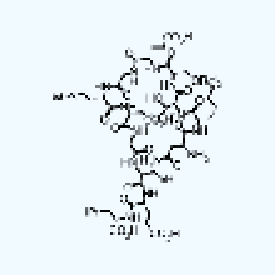 CSCC[C@H](NC(=O)CNC(=O)[C@H](CCC(=O)O)NC(=O)[C@H](CO)NC(=O)[C@@H](NC(=O)[C@H](CCCCN)NC(=O)[C@@H](N)CC(N)=O)[C@@H](C)O)C(=O)N[C@@H](CC(=O)O)C(=O)NCC(=O)N[C@@H](CS)C(=O)N[C@@H](CCC(=O)O)C(=O)N[C@@H](CC(C)C)C(=O)O